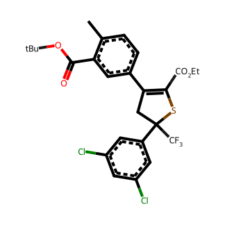 CCOC(=O)C1=C(c2ccc(C)c(C(=O)OC(C)(C)C)c2)CC(c2cc(Cl)cc(Cl)c2)(C(F)(F)F)S1